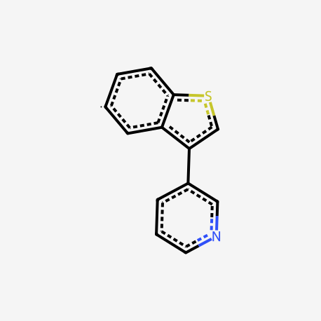 [c]1ccc2scc(-c3cccnc3)c2c1